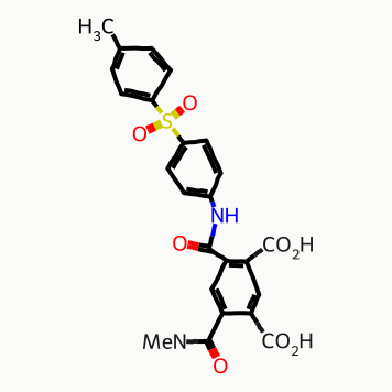 CNC(=O)c1cc(C(=O)Nc2ccc(S(=O)(=O)c3ccc(C)cc3)cc2)c(C(=O)O)cc1C(=O)O